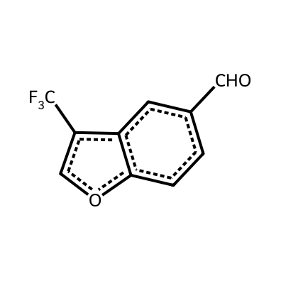 O=Cc1ccc2occ(C(F)(F)F)c2c1